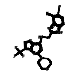 Fc1ccc2[nH]c(CNc3nc(N4CCOCC4)nn4c(C(F)(F)F)cnc34)nc2c1F